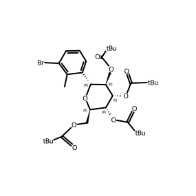 Cc1c(Br)cccc1[C@H]1O[C@H](COC(=O)C(C)(C)C)[C@@H](OC(=O)C(C)(C)C)[C@@H](OC(=O)C(C)(C)C)[C@@H]1OC(=O)C(C)(C)C